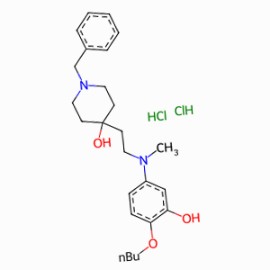 CCCCOc1ccc(N(C)CCC2(O)CCN(Cc3ccccc3)CC2)cc1O.Cl.Cl